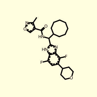 Cc1nocc1C(=O)NC(c1nc2c(F)c(C3CCOCC3)cc(F)c2[nH]1)C1CCCCCCC1